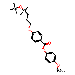 CCCCCCCCOc1ccc(OC(=O)c2ccc(OCCC[Si](C)(C)O[Si](C)(C)C)cc2)cc1